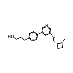 CN1CC[C@@H]1COc1cncc(-c2ccc(CCCO)cc2)c1